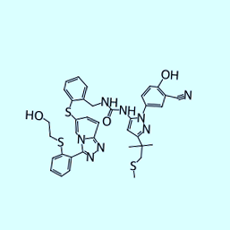 CSCC(C)(C)c1cc(NC(=O)NCc2ccccc2Sc2ccc3nnc(-c4ccccc4SCCO)n3c2)n(-c2ccc(O)c(C#N)c2)n1